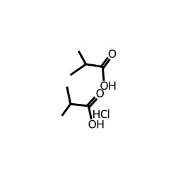 CC(C)C(=O)O.CC(C)C(=O)O.Cl